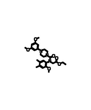 CCOC(=O)CN(C(=O)N1CCN(c2cc(OC)cc(OC)c2)CC1)c1cc(C)c(C)cc1OC